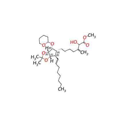 C=C(CCCC[C@@H]1[C@@H](C=CCCCCCC)[C@@H]2OC(C)(C)O[C@@H]2[C@@H]1OC1CCCCO1)C(O)C(=O)OC